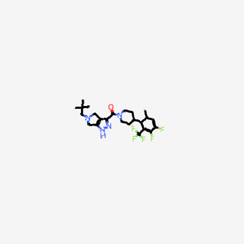 CC1C=C(F)C(F)=C(C(F)(F)F)C1C1CCN(C(=O)c2n[nH]c3c2CN(CC(C)(C)C)C3)CC1